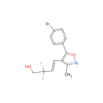 Cc1noc(-c2ccc(Br)cc2)c1C=CC(F)(F)CO